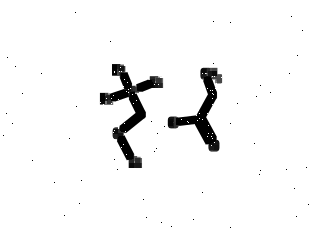 CCC(=O)[O-].CCOC[N+](CC)(CC)CC